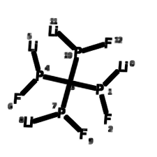 [Li][P](F)C([P]([Li])F)([P]([Li])F)[P]([Li])F